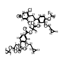 CC(C)(C)OC(=O)CN(c1ccc(C(=O)OC(C)(C)C(=O)OC(Cc2c(Cl)c[n+]([O-])cc2Cl)c2ccc(OC(F)F)c(OCC3CC3)c2)cc1OCC1CC1)[SH](=O)=O